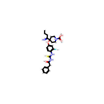 CCCC(=N)C1(Oc2ccc(NC(=S)NC(=O)Cc3ccccc3)c(F)c2)CCN(C(=O)O)CC1